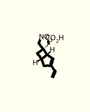 C=CC1=C[C@@H]2[C@H](C1)C[C@@]2(CC(=O)O)C[N+](=O)[O-]